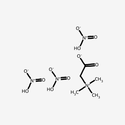 C[N+](C)(C)CC(=O)[O-].O=[N+]([O-])O.O=[N+]([O-])O.O=[N+]([O-])O